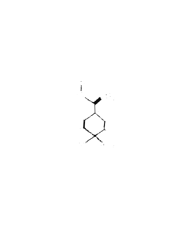 C=C(OCC)C1CCC(C)(C=O)CC1